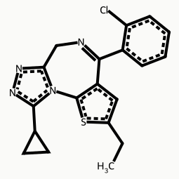 CCc1cc2c(s1)-n1c(nnc1C1CC1)CN=C2c1ccccc1Cl